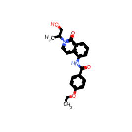 CCOc1ccc(C(=O)Nc2cccc3c(=O)n(C(C)CO)ccc23)cc1